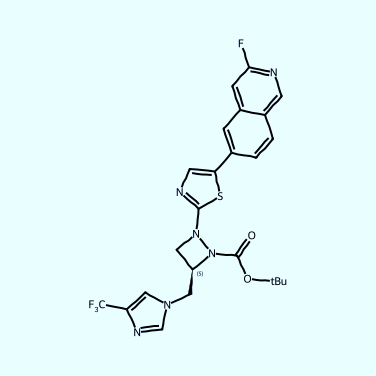 CC(C)(C)OC(=O)N1[C@@H](Cn2cnc(C(F)(F)F)c2)CN1c1ncc(-c2ccc3cnc(F)cc3c2)s1